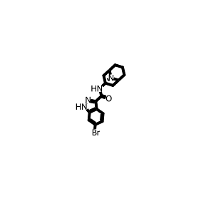 CN1C2CCCC1CC(NC(=O)c1n[nH]c3cc(Br)ccc13)C2